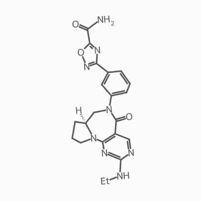 CCNc1ncc2c(n1)N1CCC[C@H]1CN(c1cccc(-c3noc(C(N)=O)n3)c1)C2=O